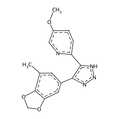 COc1ccc(-c2[nH]nnc2-c2cc(C)c3c(c2)OCO3)nc1